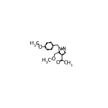 COCc1c(C(C)=O)cnn1Cc1ccc(OC)cc1